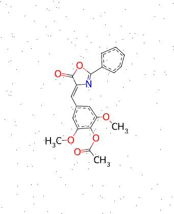 COc1cc(/C=C2\N=C(c3ccccc3)OC2=O)cc(OC)c1OC(C)=O